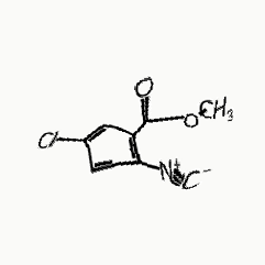 [C-]#[N+]c1ccc(Cl)cc1C(=O)OC